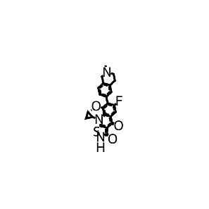 COc1c(-c2ccc3c(c2)CCN(C)C3)c(F)cc2c(=O)c3c(=O)[nH]sc3n(C3CC3)c12